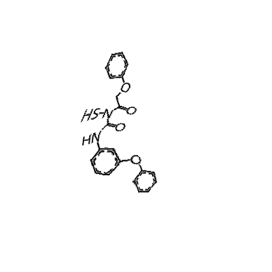 O=C(COc1ccccc1)N(S)C(=O)Nc1cccc(Oc2ccccc2)c1